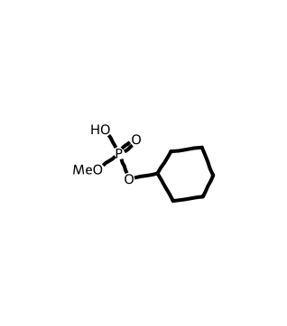 COP(=O)(O)OC1CCCCC1